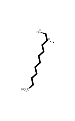 CC[C@H](C)C[C@H](C)CCCCCCCCC(=O)O